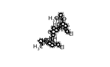 CCc1ccccc1C(=O)Nc1cc2ccc3c4cc(Cl)ccc4[nH]c3c2c(N=Nc2ccc3c(c2)C(=O)c2cccc4c(N=Nc5c(O)c(NC(=O)c6ccccc6CC)cc6ccc7c8cc(Cl)ccc8[nH]c7c56)ccc-3c24)c1O